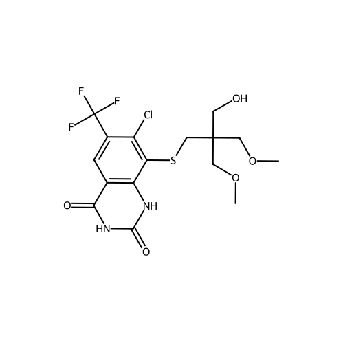 COCC(CO)(COC)CSc1c(Cl)c(C(F)(F)F)cc2c(=O)[nH]c(=O)[nH]c12